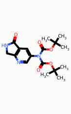 CC(C)(C)OC(=O)N(C(=O)OC(C)(C)C)c1cnc2c(c1)C(=O)NC2